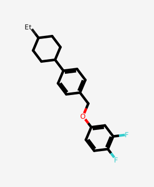 CCC1CCC(c2ccc(COc3ccc(F)c(F)c3)cc2)CC1